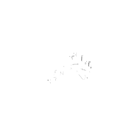 N#CCS(=O)(=O)N1CCC(c2nncc3nnc4[nH]ccc4c23)C1